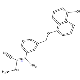 N#C/C(NN)=C(/N)c1cccc(COc2cccc3c(O)cccc23)c1